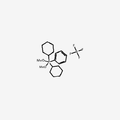 COP(OC)(c1ccccc1)(C1CCCCC1)C1CCCCC1.F[B-](F)(F)F